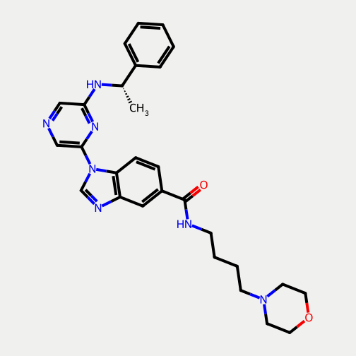 C[C@H](Nc1cncc(-n2cnc3cc(C(=O)NCCCCN4CCOCC4)ccc32)n1)c1ccccc1